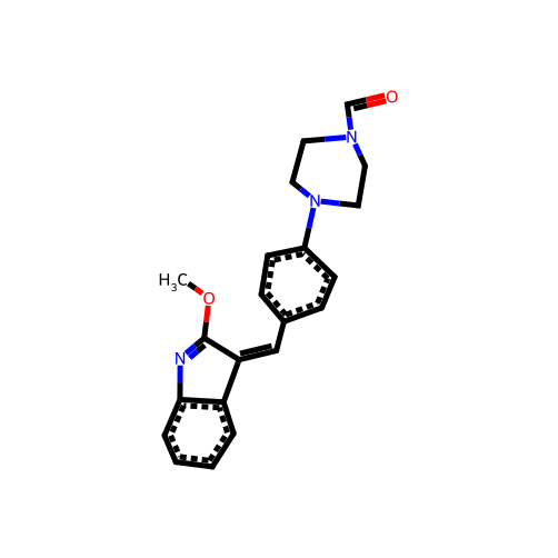 COC1=Nc2ccccc2/C1=C/c1ccc(N2CCN(C=O)CC2)cc1